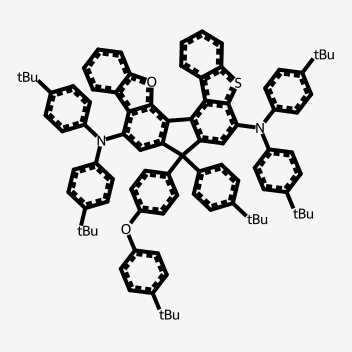 CC(C)(C)c1ccc(Oc2ccc(C3(c4ccc(C(C)(C)C)cc4)c4cc(N(c5ccc(C(C)(C)C)cc5)c5ccc(C(C)(C)C)cc5)c5c(oc6ccccc65)c4-c4c3cc(N(c3ccc(C(C)(C)C)cc3)c3ccc(C(C)(C)C)cc3)c3sc5ccccc5c43)cc2)cc1